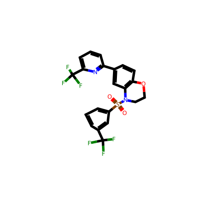 O=S(=O)(c1cccc(C(F)(F)F)c1)N1CCOc2ccc(-c3cccc(C(F)(F)F)n3)cc21